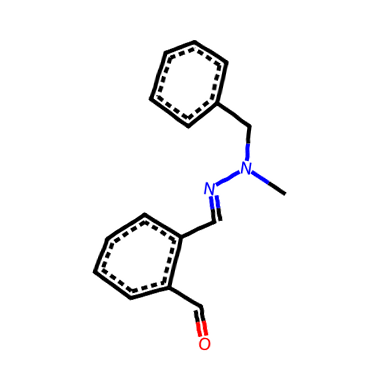 CN(Cc1ccccc1)N=Cc1ccccc1C=O